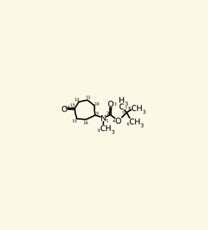 CN(C(=O)OC(C)(C)C)C1CCCC(=O)CC1